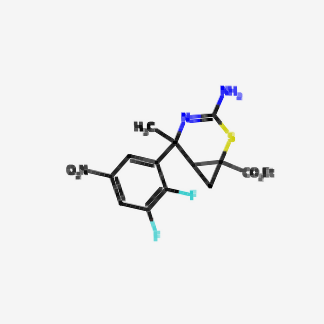 CCOC(=O)C12CC1C(C)(c1cc([N+](=O)[O-])cc(F)c1F)N=C(N)S2